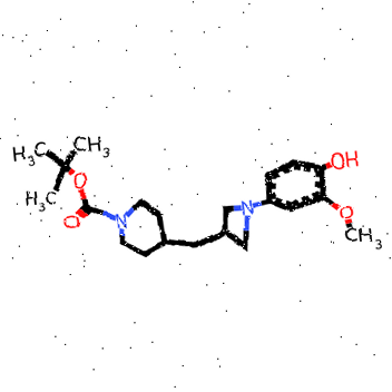 COc1cc(N2CC(CC3CCN(C(=O)OC(C)(C)C)CC3)C2)ccc1O